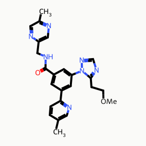 COCCc1ncnn1-c1cc(C(=O)NCc2cnc(C)cn2)cc(-c2ccc(C)cn2)c1